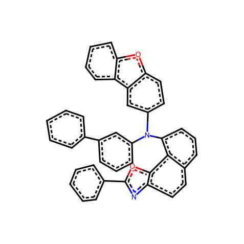 c1ccc(-c2cccc(N(c3ccc4oc5ccccc5c4c3)c3cccc4ccc5nc(-c6ccccc6)oc5c34)c2)cc1